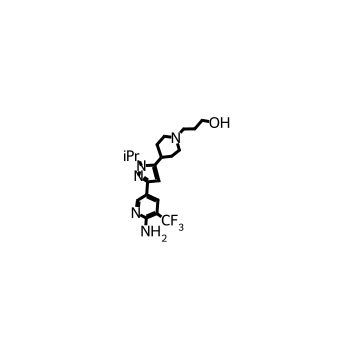 CC(C)n1nc(-c2cnc(N)c(C(F)(F)F)c2)cc1C1CCN(CCCO)CC1